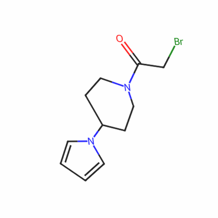 O=C(CBr)N1CCC(n2cccc2)CC1